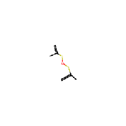 C=C(C)SOSC(=C)C